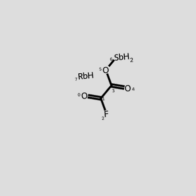 O=C(F)C(=O)[O][SbH2].[RbH]